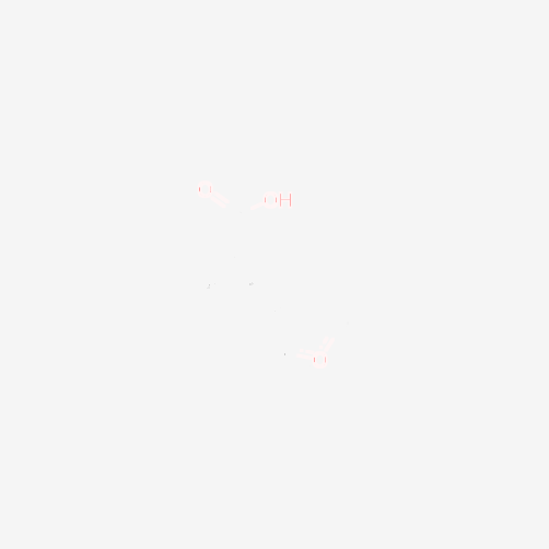 O=C(O)C1CC1c1ccoc1